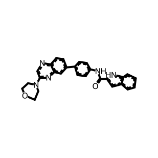 O=C(Nc1ccc(-c2ccc3ncc(N4CCOCC4)nc3c2)cc1)c1cc2ccccc2[nH]1